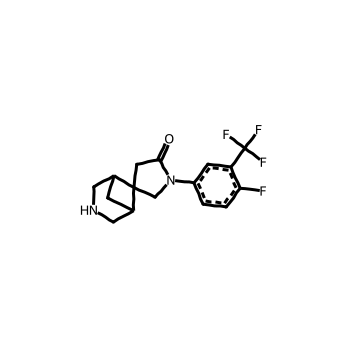 O=C1CC2(CN1c1ccc(F)c(C(F)(F)F)c1)C1CNCC2C1